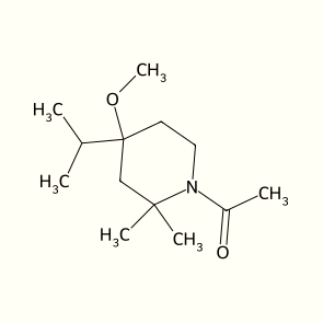 COC1(C(C)C)CCN(C(C)=O)C(C)(C)C1